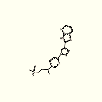 CS(=O)(=O)CCC(F)c1ccc(-n2cc(-c3nc4cccnc4[nH]3)cn2)nc1